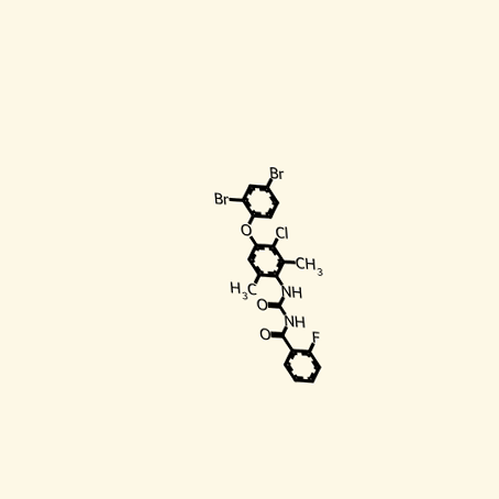 Cc1cc(Oc2ccc(Br)cc2Br)c(Cl)c(C)c1NC(=O)NC(=O)c1ccccc1F